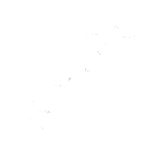 O=C(N[C@H]1CC[C@H](CCN2CCN(c3cc(Cl)ncc3Cl)CC2)CC1)C1(O)CC1